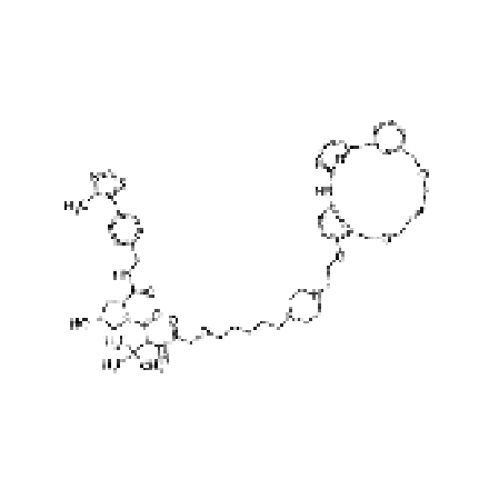 Cc1ncsc1-c1ccc(CNC(=O)[C@@H]2C[C@@H](O)CN2C(=O)[C@@H](NC(=O)COCCCCCN2CCN(CCOc3ccc4cc3COC/C=C/COCc3cccc(c3)-c3ccnc(n3)N4)CC2)C(C)(C)C)cc1